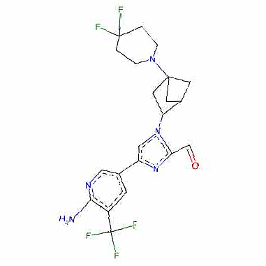 Nc1ncc(-c2cn(C3CC4(N5CCC(F)(F)CC5)CC3C4)c(C=O)n2)cc1C(F)(F)F